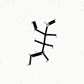 C=CC(C)(N=C)C(C)(C)/C(C)=C/C